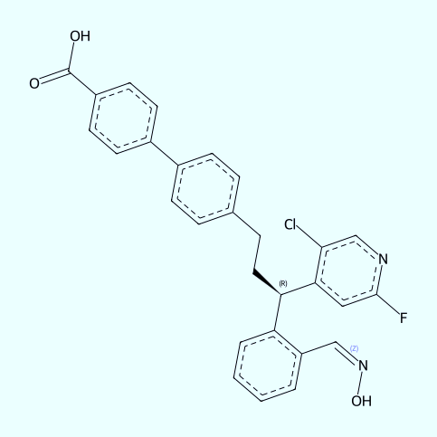 O=C(O)c1ccc(-c2ccc(CC[C@@H](c3cc(F)ncc3Cl)c3ccccc3/C=N\O)cc2)cc1